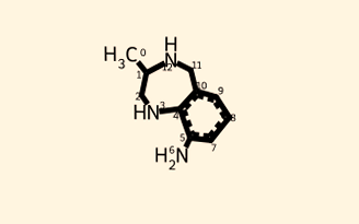 CC1CNc2c(N)cccc2CN1